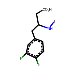 O=C(O)CC(Cc1ccc(F)c(F)c1)NI